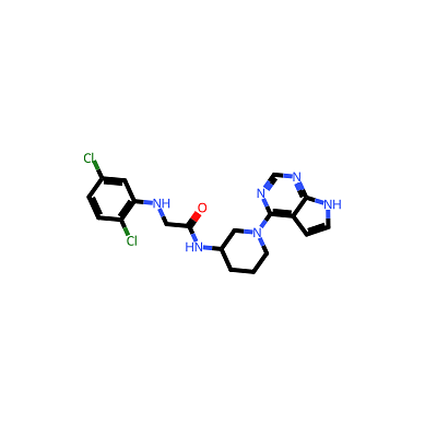 O=C(CNc1cc(Cl)ccc1Cl)NC1CCCN(c2ncnc3[nH]ccc23)C1